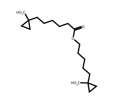 O=C(CCCCCC1(C(=O)O)CC1)OCCCCCC1(C(=O)O)CC1